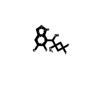 CC1(C(O)c2c(F)c(Cl)cc3cn[nH]c23)CC(F)(F)C1